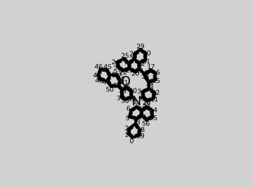 c1ccc(-c2ccc(N(c3cccc(-c4cccc(-c5cc6ccccc6c6ccccc56)c4)c3)c3ccc4c(c3)oc3cc5ccccc5cc34)c3ccccc23)cc1